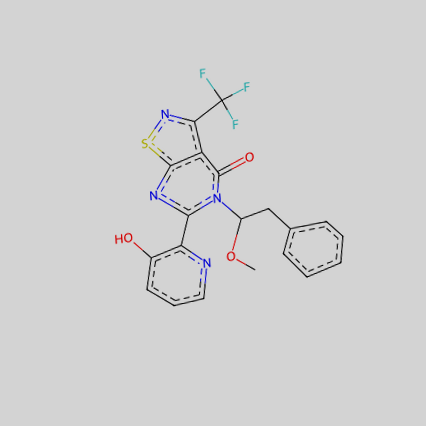 COC(Cc1ccccc1)n1c(-c2ncccc2O)nc2snc(C(F)(F)F)c2c1=O